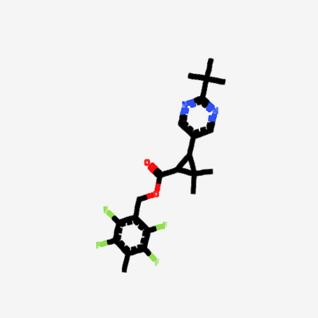 Cc1c(F)c(F)c(COC(=O)C2C(c3cnc(C(C)(C)C)nc3)C2(C)C)c(F)c1F